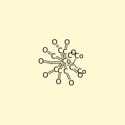 O=[C]=[Co](=[C]=O)(=[C]=O)(=[C]=O)(=[C]=O)(=[C]=O)(=[C]=O)(=[C]=O)(=[C]=O)[CH]([Co])[Co]